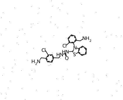 NCc1ccc(CNC(=O)NC2Sc3ccccc3N2c2c(Cl)cccc2CN)cc1Cl